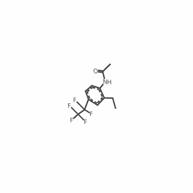 CCc1cc(C(F)(F)C(F)(F)F)ccc1NC(C)=O